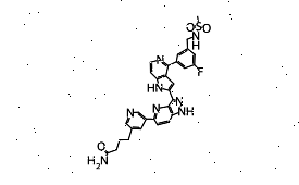 CS(=O)(=O)NCc1cc(F)cc(-c2nccc3[nH]c(-c4n[nH]c5ccc(-c6cncc(CCCC(N)=O)c6)nc45)cc23)c1